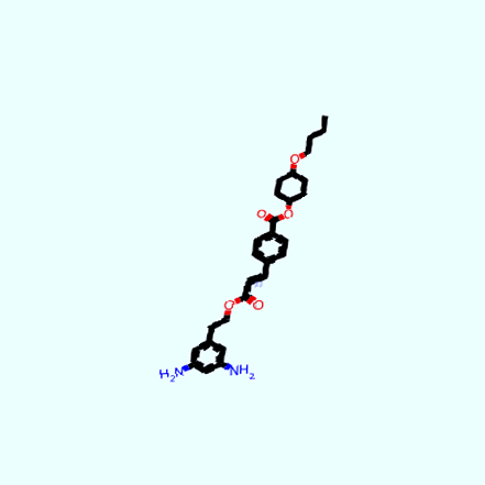 CCCCOC1CCC(OC(=O)c2ccc(/C=C/C(=O)OCCc3cc(N)cc(N)c3)cc2)CC1